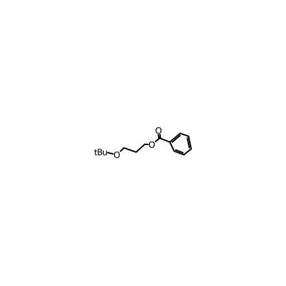 CC(C)(C)OCCCOC(=O)c1ccccc1